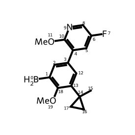 Bc1cc(-c2cc(F)cnc2OC)cc(C2(C)CC2)c1OC